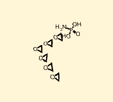 C1CO1.C1CO1.C1CO1.C1CO1.C1CO1.C1CO1.NP(=O)(O)O